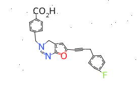 O=C(O)c1ccc(CN2C=Nc3oc(C#CCc4ccc(F)cc4)cc3C2)cc1